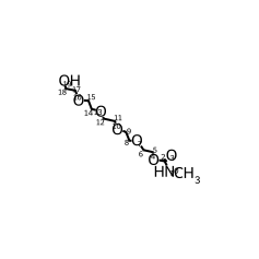 CNC(=O)OCCOCCOCCOCCOCCO